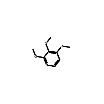 COc1ccnc(OC)c1OC